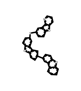 c1ccc2c(c1)oc1ccc(-c3ccc4oc5ccc(Sc6ccc7oc8cccnc8c7c6)cc5c4c3)cc12